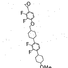 COC1CCC(c2ccc(C3CCC(COc4ccc(C5CO5)c(F)c4F)CC3)c(F)c2F)CC1